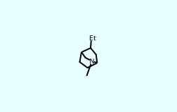 CCC1CC2CCC1CN2C